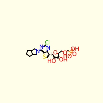 O=P(O)(O)COCC1O[C@@H](c2csc3c(N4CC5CCCC5C4)nc(Cl)nc23)[C@H](O)[C@@H]1O